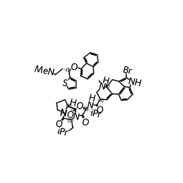 CC(C)C[C@H]1C(=O)N2CCC[C@H]2[C@]2(O)O[C@](NC(=O)[C@@H]3C=C4c5cccc6[nH]c(Br)c(c56)C[C@H]4N(C)C3)(C(C)C)C(=O)N12.CNCC[C@H](Oc1cccc2ccccc12)c1cccs1